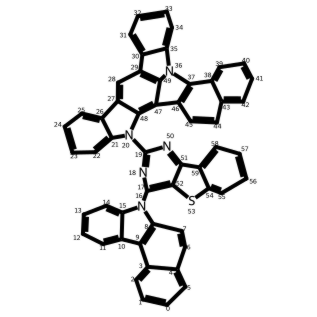 c1ccc2c(c1)ccc1c2c2ccccc2n1-c1nc(-n2c3ccccc3c3cc4c5ccccc5n5c6c7ccccc7ccc6c(c32)c45)nc2c1sc1ccccc12